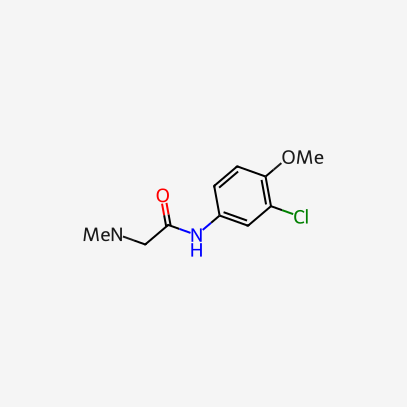 CNCC(=O)Nc1ccc(OC)c(Cl)c1